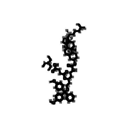 CCN(CC)CC.COc1ccc(C(OCCC(CCNC(=O)O[C@H]2CC[C@@]3(C)C(=CC[C@H]4[C@@H]5CC[C@H]([C@H](C)CCCC(C)C)[C@@]5(C)CC[C@@H]43)C2)OC(=O)CCC(=O)O)(c2ccccc2)c2ccc(OC)cc2)cc1